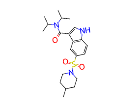 CC1CCN(S(=O)(=O)c2ccc3[nH]cc(C(=O)N(C(C)C)C(C)C)c3c2)CC1